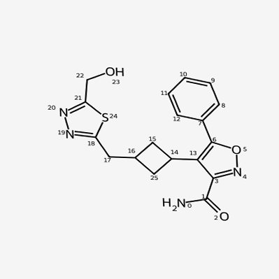 NC(=O)c1noc(-c2ccccc2)c1C1CC(Cc2nnc(CO)s2)C1